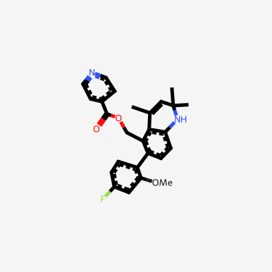 COc1cc(F)ccc1-c1ccc2c(c1COC(=O)c1ccncc1)C(C)=CC(C)(C)N2